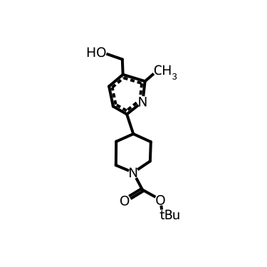 Cc1nc(C2CCN(C(=O)OC(C)(C)C)CC2)ccc1CO